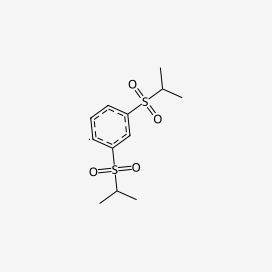 CC(C)S(=O)(=O)c1[c]ccc(S(=O)(=O)C(C)C)c1